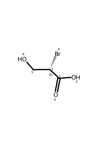 O=C(O)[C@@H](Br)CO